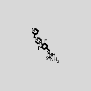 NC(=S)NN=Cc1cc(F)c(N2CCN(Cc3cccnc3)CC2)c(F)c1